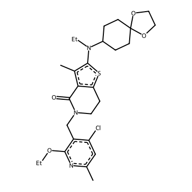 CCOc1nc(C)cc(Cl)c1CN1CCc2sc(N(CC)C3CCC4(CC3)OCCO4)c(C)c2C1=O